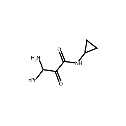 CCCC(N)C(=O)C(=O)NC1CC1